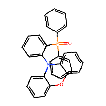 O=P(c1ccccc1)(c1ccccc1)c1ccccc1N1c2ccccc2Oc2ccccc21